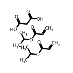 C=CC(=O)OC(C)C.C=CC(=O)OC(C)C.O=C(O)CC(=O)O